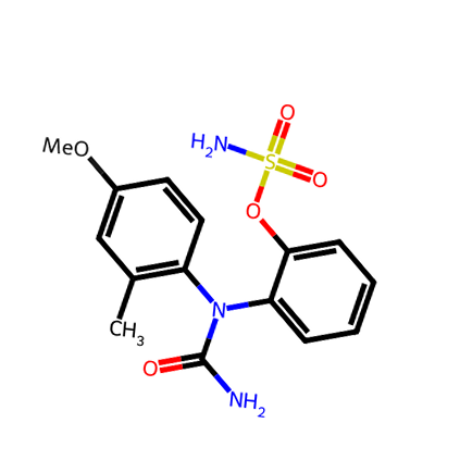 COc1ccc(N(C(N)=O)c2ccccc2OS(N)(=O)=O)c(C)c1